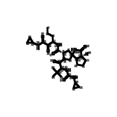 CCCC(NC(=O)[C@@H]1CC2(CN1C(=O)[C@@H](NC(=O)NC1CC1)C(C)(C)C)NC(=O)[C@H]1CCCN12)C(=O)C(=O)NC1CC1